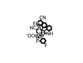 CCOc1ccccc1C1(C2CNc3ccccc32)C(=O)[N+](C(=O)[O-])(S(=O)(=O)c2ccc(F)cc2F)CC(C#N)N1c1ccc(C#N)cn1